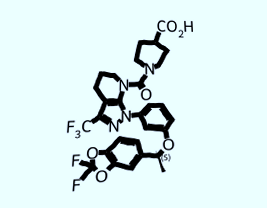 C[C@H](Oc1cccc(-n2nc(C(F)(F)F)c3c2N(C(=O)N2CCC(C(=O)O)CC2)CCC3)c1)c1ccc2c(c1)OC(F)(F)O2